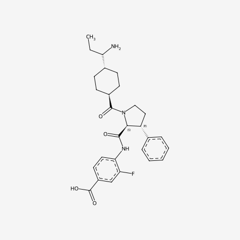 CCC(N)[C@H]1CC[C@H](C(=O)N2CC[C@H](c3ccccc3)[C@H]2C(=O)Nc2ccc(C(=O)O)cc2F)CC1